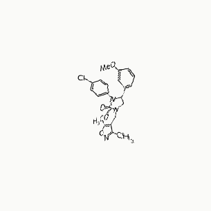 COc1cccc(C2CN(Cc3c(C)noc3C)S(=O)(=O)N2c2ccc(Cl)cc2)c1